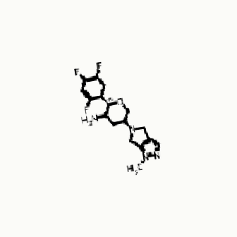 Cn1ncc2c1CN(C1CO[C@H](C3CC(F)=C(F)C=C3F)C(N)C1)C2